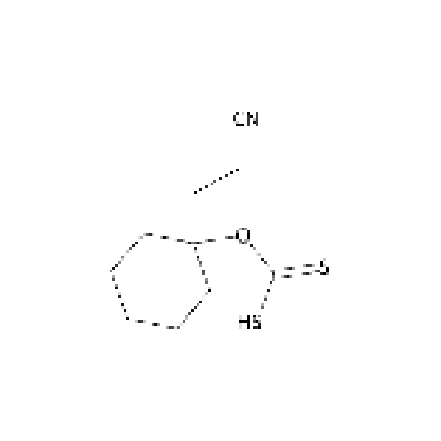 N#CCCC1(OC(=S)S)CCCCC1